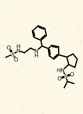 CC(C)S(=O)(=O)NC1CCCC1c1ccc(C(NCCNS(C)(=O)=O)c2ccccc2)cc1